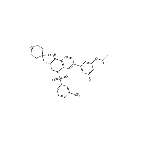 O=C(O)C1(C[C@H]2CN(S(=O)(=O)c3cccc(C(F)(F)F)c3)c3cc(-c4cc(F)cc(OC(F)F)c4)ccc3O2)CCOCC1